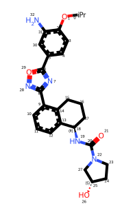 CC(C)Oc1ccc(-c2nc(-c3cccc4c3CCC[C@H]4NC(=O)N3CC[C@H](O)C3)no2)cc1N